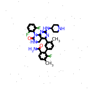 Cc1ccc(-c2c(C(N)=O)ccc(C)c2F)cc1-c1nc(NC2CCNCC2)nc2c1CNC(=O)N2c1c(F)cccc1F